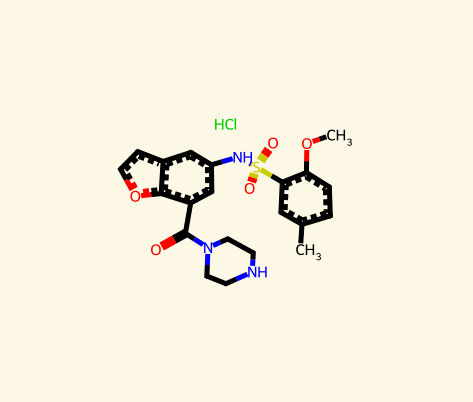 COc1ccc(C)cc1S(=O)(=O)Nc1cc(C(=O)N2CCNCC2)c2occc2c1.Cl